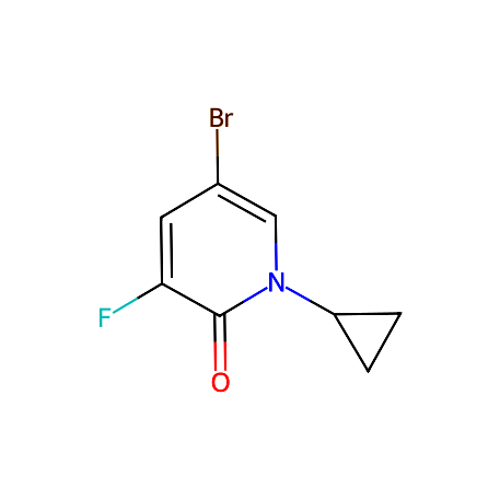 O=c1c(F)cc(Br)cn1C1CC1